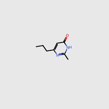 CCCc1cc(=O)[nH]c(C)n1